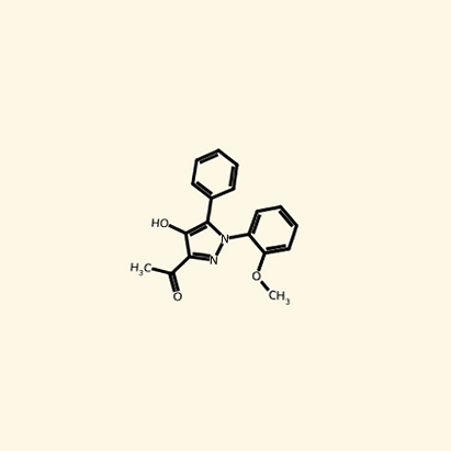 COc1ccccc1-n1nc(C(C)=O)c(O)c1-c1ccccc1